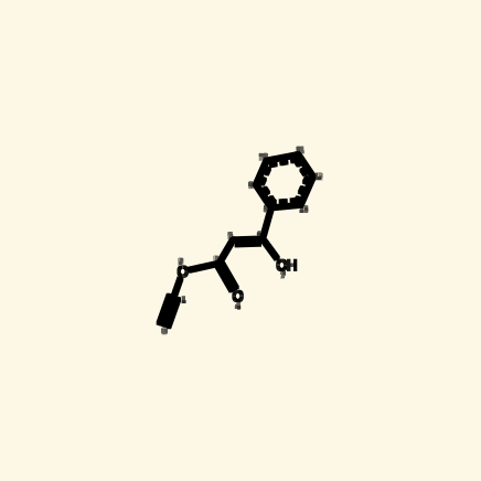 C#COC(=O)/C=C(\O)c1ccccc1